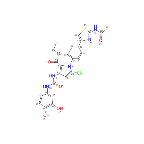 CCOC(=O)c1c(NC(=O)Nc2ccc(O)c(O)c2)cc(Cl)n1-c1ccc(-c2csc(NC(C)=O)n2)cc1